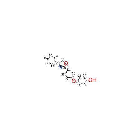 Oc1ccc(Oc2ccc(C3=NC(c4ccccc4)CO3)cc2)cc1